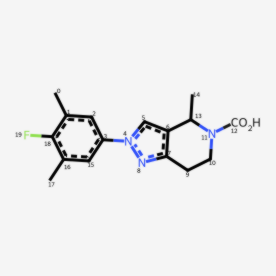 Cc1cc(-n2cc3c(n2)CCN(C(=O)O)C3C)cc(C)c1F